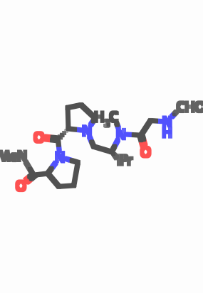 CNC(=O)C1CCCN1C(=O)[C@@H]1CCCN1C[C@H](C(C)C)N(C)C(=O)CNC=O